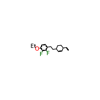 C=CC1C=CC(CCc2ccc(OCC)c(F)c2F)CC1